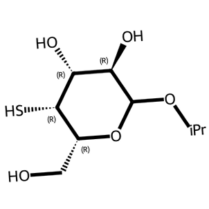 CC(C)OC1O[C@H](CO)[C@H](S)[C@H](O)[C@H]1O